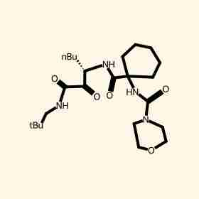 CCCC[C@H](NC(=O)C1(NC(=O)N2CCOCC2)CCCCC1)C(=O)C(=O)NCC(C)(C)C